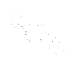 Nc1ncnc2c1ncn2[C@@H]1O[C@@H]2CO[P@@](=O)(S)O[C@H]3[C@@H](O)[C@H](n4cnc5c(N)ncnc54)O[C@@H]3CO[PH](=O)O[C@H]2[C@H]1O